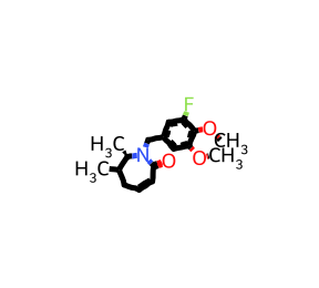 COc1cc(CN2C(=O)C=CCC(C)[C@H]2C)cc(F)c1OC